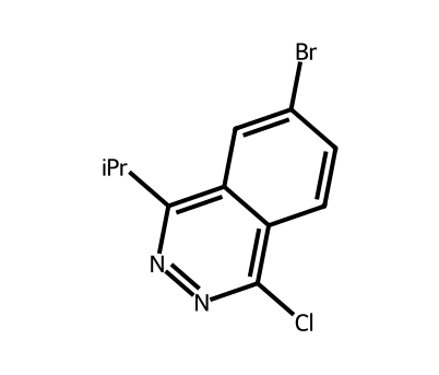 CC(C)c1nnc(Cl)c2ccc(Br)cc12